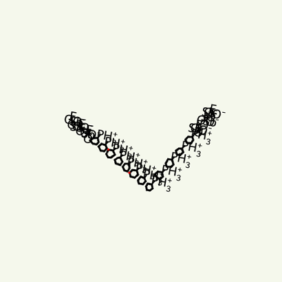 [O]=[Sb]([O-])([O-])[F].[O]=[Sb]([O-])([O-])[F].[O]=[Sb]([O-])([O-])[F].[O]=[Sb]([O-])([O-])[F].[O]=[Sb]([O-])([O-])[F].[O]=[Sb]([O-])([O-])[F].[PH3+]c1ccccc1.[PH3+]c1ccccc1.[PH3+]c1ccccc1.[PH3+]c1ccccc1.[PH3+]c1ccccc1.[PH3+]c1ccccc1.[PH3+]c1ccccc1.[PH3+]c1ccccc1.[PH3+]c1ccccc1.[PH3+]c1ccccc1.[PH3+]c1ccccc1.[PH3+]c1ccccc1